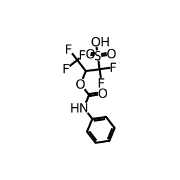 O=C(Nc1ccccc1)OC(C(F)(F)F)C(F)(F)S(=O)(=O)O